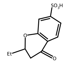 CCC1CC(=O)c2ccc(S(=O)(=O)O)cc2O1